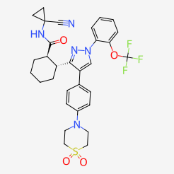 N#CC1(NC(=O)[C@@H]2CCCC[C@H]2c2nn(-c3ccccc3OC(F)(F)F)cc2-c2ccc(N3CCS(=O)(=O)CC3)cc2)CC1